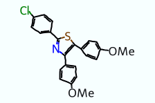 COc1ccc(-c2nc(-c3ccc(Cl)cc3)sc2-c2ccc(OC)cc2)cc1